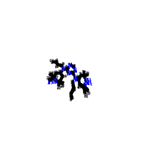 CCCCN(c1n[c]nc(N(CCCC)C2CC(C)(C)NC(C)(C)C2)n1)C1CC(C)(C)NC(C)(C)C1